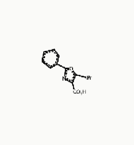 CC(C)c1oc(-c2ccccc2)nc1C(=O)O